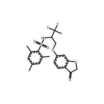 Cc1cc(C)c(S(=O)(=O)NC(COc2ccc3c(c2)OCC3=O)C(F)(F)F)c(C)c1